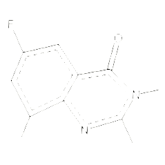 Cc1cc(F)cc2c(=O)n(C)c(C)nc12